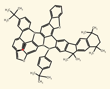 CC(C)(C)c1ccc(N2B3c4cc5occc5cc4N(c4ccc(C(C)(C)C)cc4-c4ccccc4)c4cc5c(oc6ccccc65)c(c43)-c3cc4c(cc32)C(C)(C)c2cc3c(cc2-4)C(C)(C)CCC3(C)C)cc1